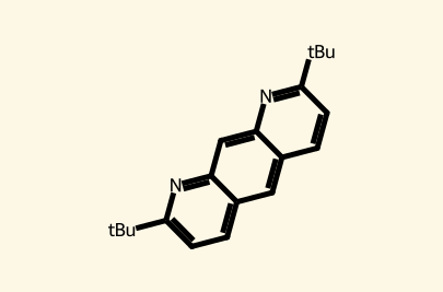 CC(C)(C)c1ccc2cc3ccc(C(C)(C)C)nc3cc2n1